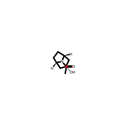 CC(=O)N1[C@@H]2CC[C@H]1C[C@@H](O)C2